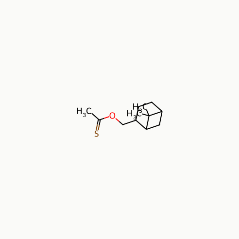 CC(=S)OCC1CCC2CC1C2(C)C